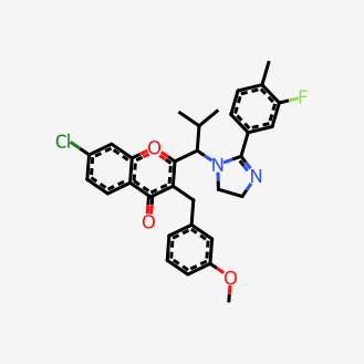 COc1cccc(Cc2c(C(C(C)C)N3CCN=C3c3ccc(C)c(F)c3)oc3cc(Cl)ccc3c2=O)c1